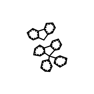 c1ccc(C2(c3ccccc3)c3ccccc3-c3ccccc32)cc1.c1ccc2c(c1)Cc1ccccc1-2